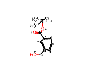 CC(C)(C)OC(=O)c1cccc(CO)c1